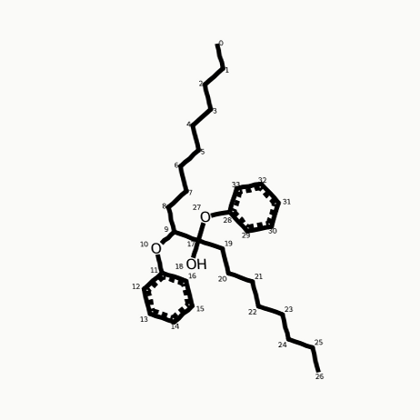 CCCCCCCCCC(Oc1ccccc1)C(O)(CCCCCCCC)Oc1ccccc1